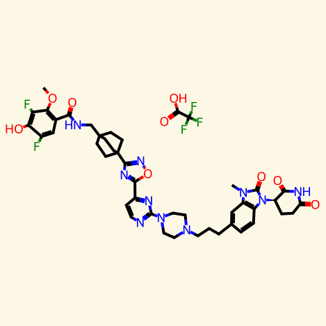 COc1c(C(=O)NCC23CCC(c4noc(-c5ccnc(N6CCN(CCCc7ccc8c(c7)n(C)c(=O)n8[C@@H]7CCC(=O)NC7=O)CC6)n5)n4)(CC2)CC3)cc(F)c(O)c1F.O=C(O)C(F)(F)F